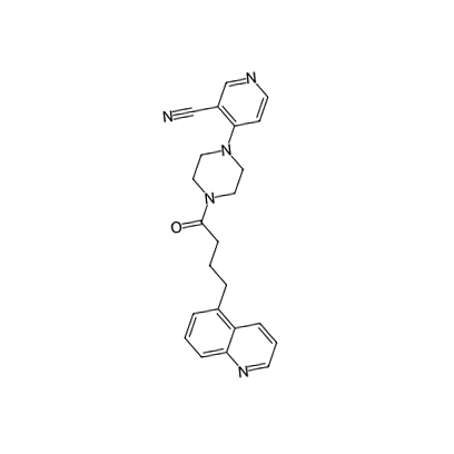 N#Cc1cnccc1N1CCN(C(=O)CCCc2cccc3ncccc23)CC1